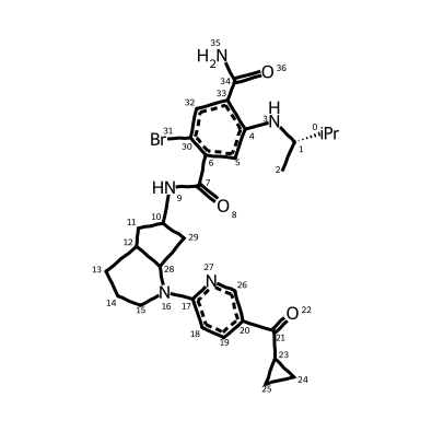 CC(C)[C@H](C)Nc1cc(C(=O)NC2CC3CCCN(c4ccc(C(=O)C5CC5)cn4)C3C2)c(Br)cc1C(N)=O